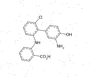 Nc1cc(-c2c(Cl)cccc2Nc2ccccc2C(=O)O)ccc1O